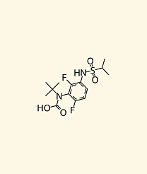 CC(C)S(=O)(=O)Nc1ccc(F)c(N(C(=O)O)C(C)(C)C)c1F